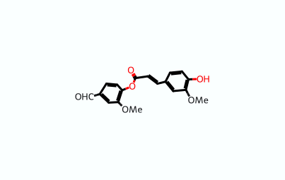 COc1cc(C=CC(=O)Oc2ccc(C=O)cc2OC)ccc1O